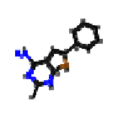 Cc1nc(N)c2cc(-c3ccccc3)sc2n1